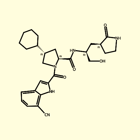 N#Cc1cccc2cc(C(=O)N3C[C@H](C4CCCCC4)C[C@H]3C(=O)N[C@H](CO)C[C@@H]3CCNC3=O)[nH]c12